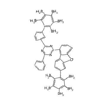 Bc1c(B)c(B)c(-c2cccc(-c3nc(-c4ccccc4)nc(-c4cccc5oc6cc(-c7c(B)c(B)c(B)c(B)c7B)ccc6c45)n3)c2)c(B)c1B